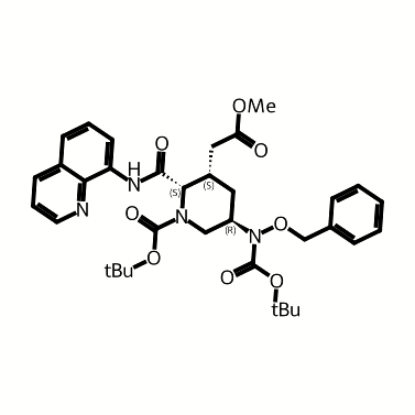 COC(=O)C[C@@H]1C[C@@H](N(OCc2ccccc2)C(=O)OC(C)(C)C)CN(C(=O)OC(C)(C)C)[C@@H]1C(=O)Nc1cccc2cccnc12